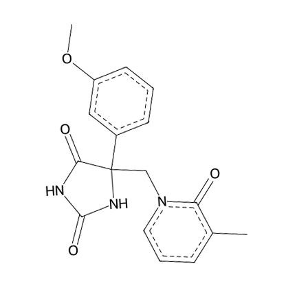 COc1cccc(C2(Cn3cccc(C)c3=O)NC(=O)NC2=O)c1